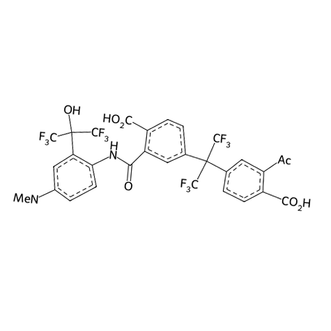 CNc1ccc(NC(=O)c2cc(C(c3ccc(C(=O)O)c(C(C)=O)c3)(C(F)(F)F)C(F)(F)F)ccc2C(=O)O)c(C(O)(C(F)(F)F)C(F)(F)F)c1